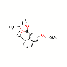 COCOc1cc(B2OC(C)C(C)O2)c2c(C3CC3)cccc2c1